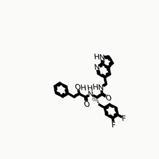 O=C(N[C@@H](Cc1ccc(F)c(F)c1)C(=O)NCc1cnc2[nH]ccc2c1)C(O)Cc1ccccc1